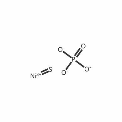 O=P([O-])([O-])[O-].[S]=[Ni+3]